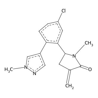 C=C1CC(c2cc(Cl)ccc2-c2cnn(C)c2)N(C)C1=O